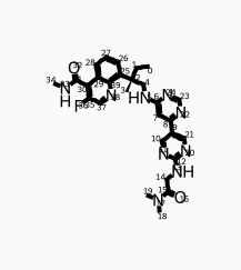 CC[C@](C)(CNc1cc(-c2cnc(NCC(=O)N(C)C)nc2)ncn1)c1cccc2c(C(=O)NC)c(F)cnc12